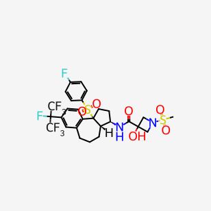 CS(=O)(=O)N1CC(O)(C(=O)N[C@@H]2CC[C@@]3(S(=O)(=O)c4ccc(F)cc4)c4ccc(C(F)(C(F)(F)F)C(F)(F)F)cc4CCC[C@@H]23)C1